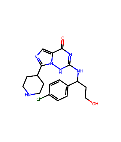 O=c1nc(NC(CCO)c2ccc(Cl)cc2)[nH]n2c(C3CCNCC3)ncc12